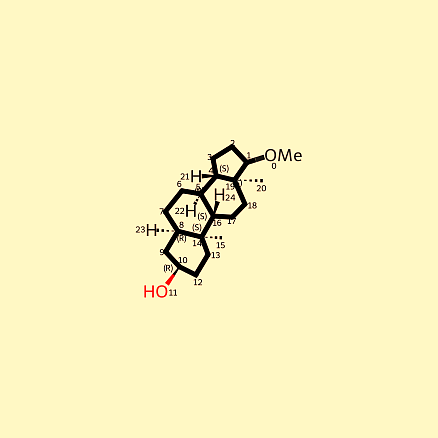 COC1CC[C@H]2[C@@H]3CC[C@@H]4C[C@H](O)CC[C@]4(C)[C@H]3CC[C@]12C